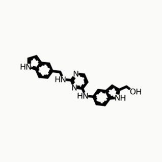 OCc1cc2cc(Nc3ccnc(NCc4ccc5[nH]ccc5c4)n3)ccc2[nH]1